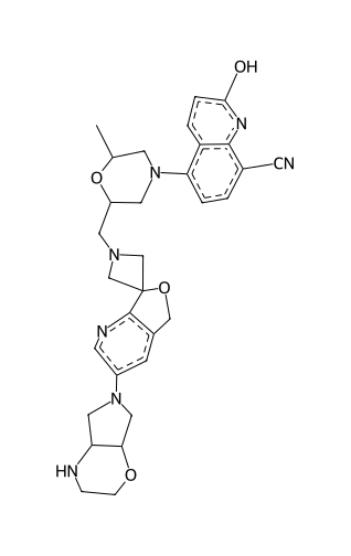 CC1CN(c2ccc(C#N)c3nc(O)ccc23)CC(CN2CC3(C2)OCc2cc(N4CC5NCCOC5C4)cnc23)O1